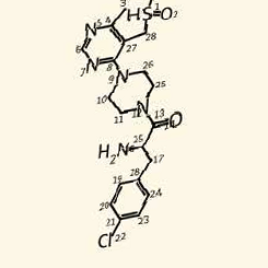 C[SH]1(=O)Cc2ncnc(N3CCN(C(=O)[C@H](N)Cc4ccc(Cl)cc4)CC3)c2C1